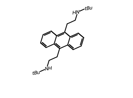 CC(C)(C)NCCc1c2ccccc2c(CCNC(C)(C)C)c2ccccc12